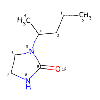 CCCC(C)N1CCNC1=O